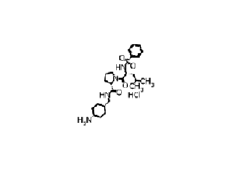 CC(C)C[C@@H](NS(=O)(=O)c1ccccc1)C(=O)N1CCC[C@H]1C(=O)NC[C@H]1CC[C@H](N)CC1.Cl